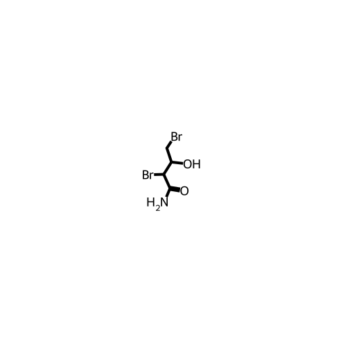 NC(=O)C(Br)C(O)CBr